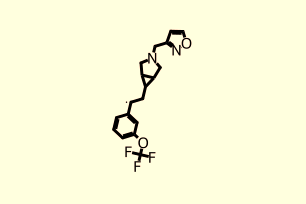 FC(F)(F)Oc1cccc([CH]CC2C3CN(Cc4ccon4)CC23)c1